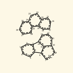 c1ccc2c(c1)-c1cccc3cccc-2c13.c1ccc2c(c1)ccc1ccccc12